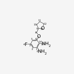 Nc1cc(F)cc(OCC2CCCO2)c1N